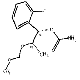 COCO[C@@H](C)[C@@H](OC(N)=O)c1ccccc1F